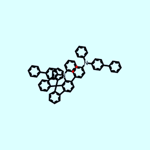 c1ccc(-c2ccc(N(c3ccccc3)c3ccc(-c4ccc5c(c4N(c4ccccc4)c4ccc(-c6ccccc6)cc4)C4(c6ccccc6-c6ccccc64)c4ccccc4-5)cc3)cc2)cc1